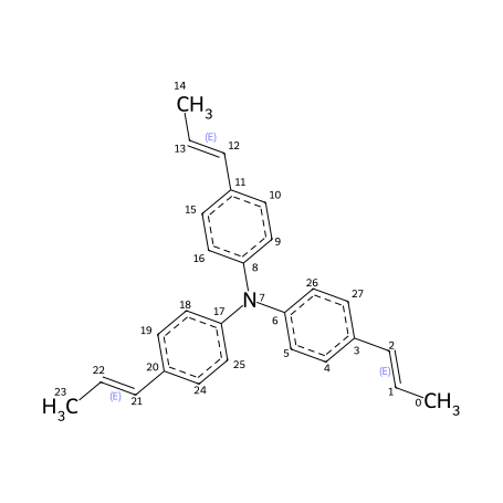 C/C=C/c1ccc(N(c2ccc(/C=C/C)cc2)c2ccc(/C=C/C)cc2)cc1